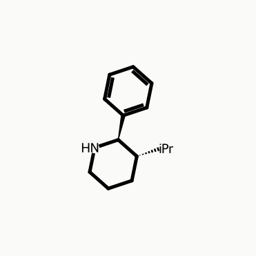 CC(C)[C@@H]1CCCN[C@H]1c1ccccc1